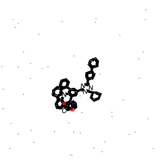 C1=CCC(c2nc(-c3ccc(-c4ccccc4)cc3)nc(-c3cc(-c4ccccc4)c(-n4c5ccccc5c5ccc6oc7ccccc7c6c54)c(-c4ccccc4)c3)n2)C=C1